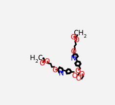 C=CC(=O)OCCCCOc1ccc(-c2ccc(COC3OCCOC3OCc3ccc(-c4ccc(OCCCCOC(=O)C=C)cn4)cc3)cc2)nc1